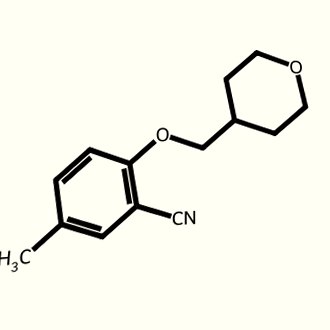 Cc1ccc(OCC2CCOCC2)c(C#N)c1